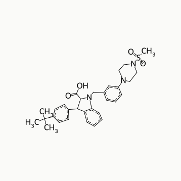 CC(C)(C)c1ccc(C2c3ccccc3N(Cc3cccc(N4CCN(S(C)(=O)=O)CC4)c3)C2C(=O)O)cc1